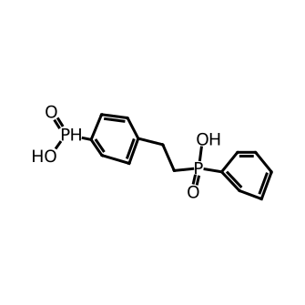 O=[PH](O)c1ccc(CCP(=O)(O)c2ccccc2)cc1